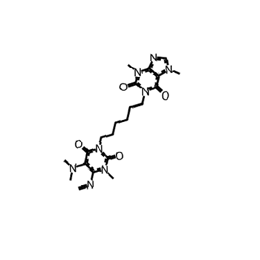 C=Nc1c(N(C)C)c(=O)n(CCCCCCn2c(=O)c3c(ncn3C)n(C)c2=O)c(=O)n1C